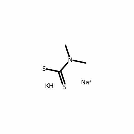 CN(C)C(=S)[S-].[KH].[Na+]